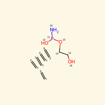 C=C.C=C.C=C.C=C.C=C.NP(O)OCCO